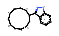 c1ccc2c(c1)[N]N=C2C1CCCCCCCCCC1